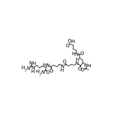 CC(=O)NC(CCC(=O)NCCCC(=O)O)C(=O)NCCCC(=O)NCCCC(=O)NC(CCCNC(=N)N)C(N)=O